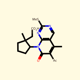 CSc1ncc2c(C)c(C(C)=O)c(=O)n(C3CCCC3(C)CC(=O)O)c2n1